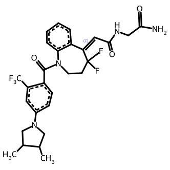 CC1CN(c2ccc(C(=O)N3CCC(F)(F)/C(=C\C(=O)NCC(N)=O)c4ccccc43)c(C(F)(F)F)c2)CC1C